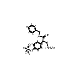 CC(=O)NCC(C(=O)OCc1ccccc1)c1ccc(OS(C)(=O)=O)cc1